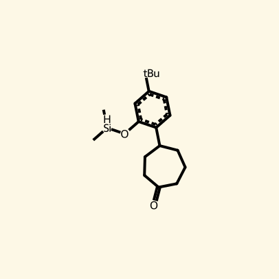 C[SiH](C)Oc1cc(C(C)(C)C)ccc1C1CCCC(=O)CC1